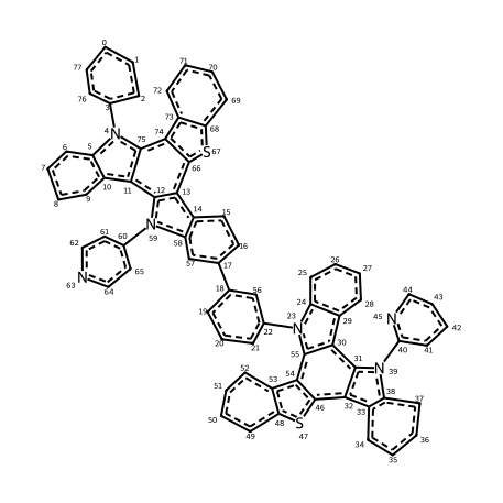 c1ccc(-n2c3ccccc3c3c4c(c5ccc(-c6cccc(-n7c8ccccc8c8c9c(c%10ccccc%10n9-c9ccccn9)c9sc%10ccccc%10c9c87)c6)cc5n4-c4ccncc4)c4sc5ccccc5c4c32)cc1